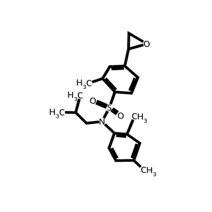 Cc1ccc(N(CC(C)C)S(=O)(=O)c2ccc(C3CO3)cc2C)c(C)c1